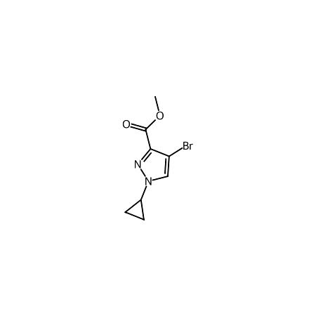 COC(=O)c1nn(C2CC2)cc1Br